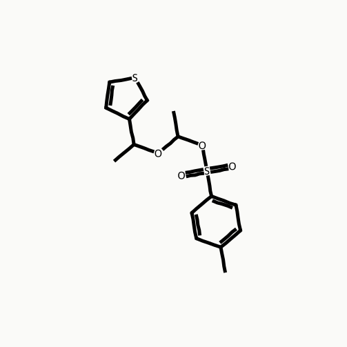 Cc1ccc(S(=O)(=O)OC(C)OC(C)c2ccsc2)cc1